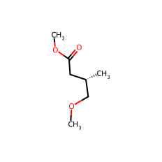 COC[C@@H](C)CC(=O)OC